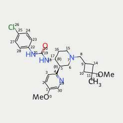 COc1ccc([C@@H]2CN(CC3CC(C)(OC)C3)CC[C@H]2NC(=O)Nc2ccc(Cl)cc2)nc1